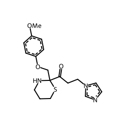 COc1ccc(OCC2(C(=O)CCn3ccnc3)NCCCS2)cc1